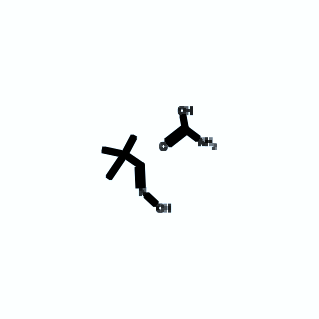 CC(C)(C)C=NO.NC(=O)O